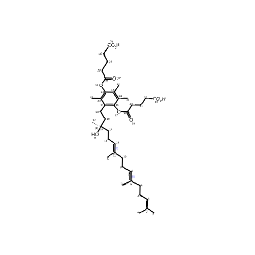 CC(C)=CCC/C(C)=C/CC/C(C)=C/CC[C@@](C)(O)CCc1c(C)c(OC(=O)CCCC(=O)O)c(C)c(C)c1OC(=O)CCCC(=O)O